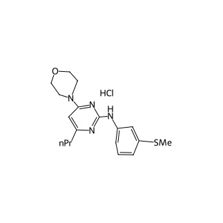 CCCc1cc(N2CCOCC2)nc(Nc2cccc(SC)c2)n1.Cl